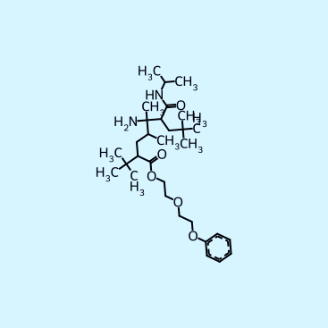 CC(C)NC(=O)C(CC(C)(C)C)C(C)(N)C(C)CC(C(=O)OCCOCCOc1ccccc1)C(C)(C)C